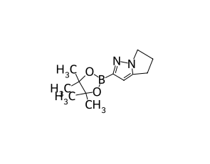 CC1(C)OB(c2cc3n(n2)CCC3)OC1(C)C